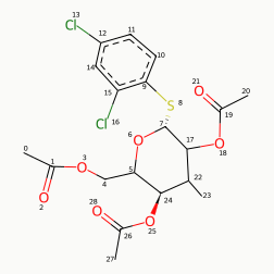 CC(=O)OCC1O[C@H](Sc2ccc(Cl)cc2Cl)C(OC(C)=O)C(C)[C@H]1OC(C)=O